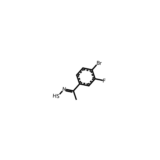 C/C(=N\S)c1ccc(Br)c(F)c1